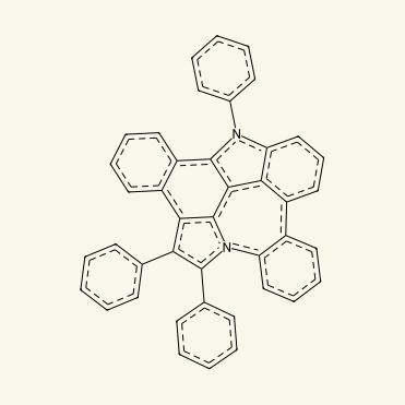 c1ccc(-c2c(-c3ccccc3)n3c4ccccc4c4cccc5c4c4c(c6ccccc6c2c43)n5-c2ccccc2)cc1